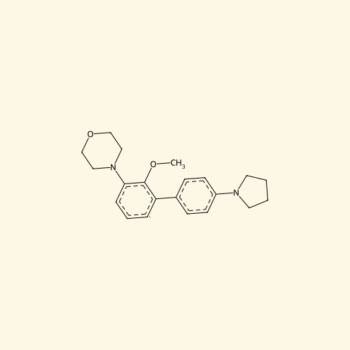 COc1c(-c2ccc(N3CCCC3)cc2)[c]ccc1N1CCOCC1